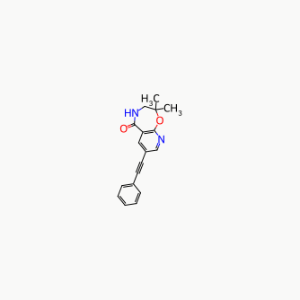 CC1(C)CNC(=O)c2cc(C#Cc3ccccc3)cnc2O1